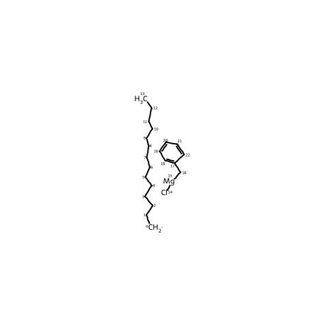 [CH2]CCCCCCCCCCCCC.[Cl][Mg][CH2]c1ccccc1